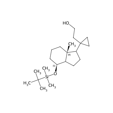 CC(C)(C)[Si](C)(C)O[C@H]1CCC[C@@]2(C)C1CCC2C1(CCO)CC1